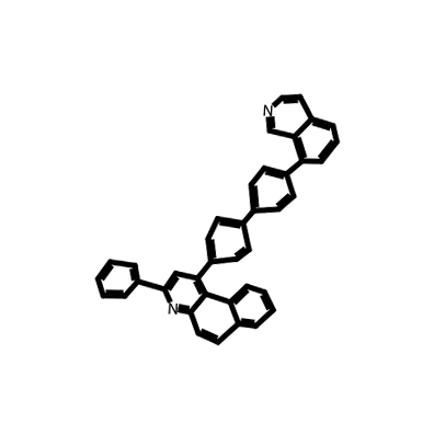 c1ccc(-c2cc(-c3ccc(-c4ccc(-c5cccc6ccncc56)cc4)cc3)c3c(ccc4ccccc43)n2)cc1